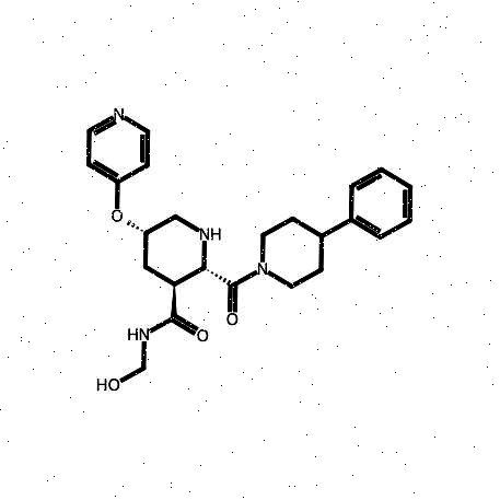 O=C(NCO)[C@H]1C[C@H](Oc2ccncc2)CN[C@@H]1C(=O)N1CCC(c2ccccc2)CC1